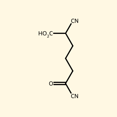 N#CC(=O)CCCC(C#N)C(=O)O